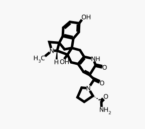 CN1CC23CC4(Cc5[nH]c(=O)c(C(=O)N6CCC[C@H]6C(N)=O)cc5CC4(O)[C@H]12)c1cc(O)ccc13